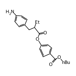 CCCCOC(=O)c1ccc(OC(=O)C(CC)Cc2ccc(N)cc2)cc1